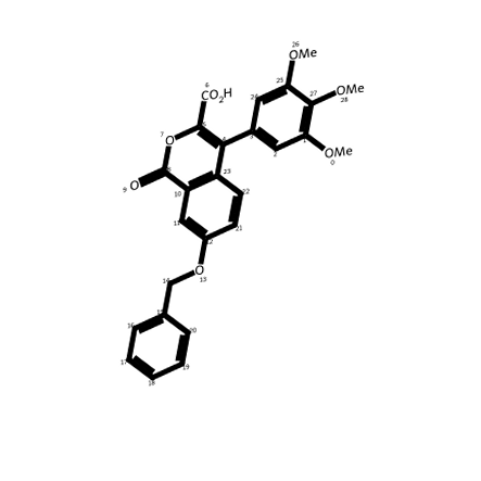 COc1cc(-c2c(C(=O)O)oc(=O)c3cc(OCc4ccccc4)ccc23)cc(OC)c1OC